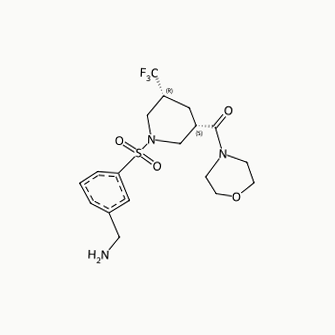 NCc1cccc(S(=O)(=O)N2C[C@@H](C(=O)N3CCOCC3)C[C@@H](C(F)(F)F)C2)c1